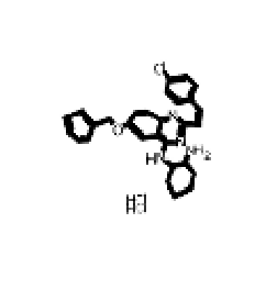 Cl.Cl.NC1CCCCC1Nc1nc(/C=C\c2ccc(Cl)cc2)nc2ccc(OCc3ccccc3)cc12